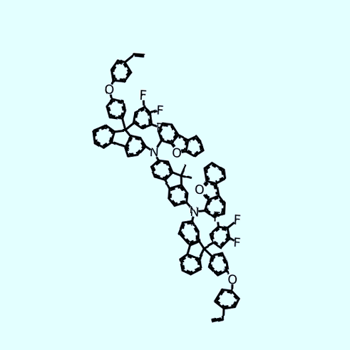 C=Cc1ccc(Oc2ccc(C3(c4cc(F)c(F)c(F)c4)c4ccccc4-c4ccc(N(c5ccc6c(c5)C(C)(C)c5cc(N(c7ccc8c(c7)C(c7ccc(Oc9ccc(C=C)cc9)cc7)(c7cc(F)c(F)c(F)c7)c7ccccc7-8)c7cccc8c7oc7ccccc78)ccc5-6)c5cccc6c5oc5ccccc56)cc43)cc2)cc1